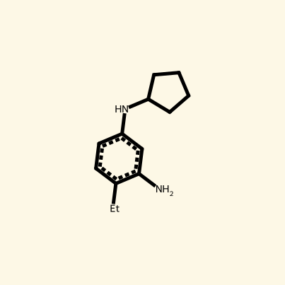 CCc1ccc(NC2CCCC2)cc1N